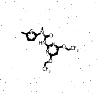 Cc1ccc(N(C)C(=O)Nc2nc(OCC(F)(F)F)cc(OCC(F)(F)F)n2)s1